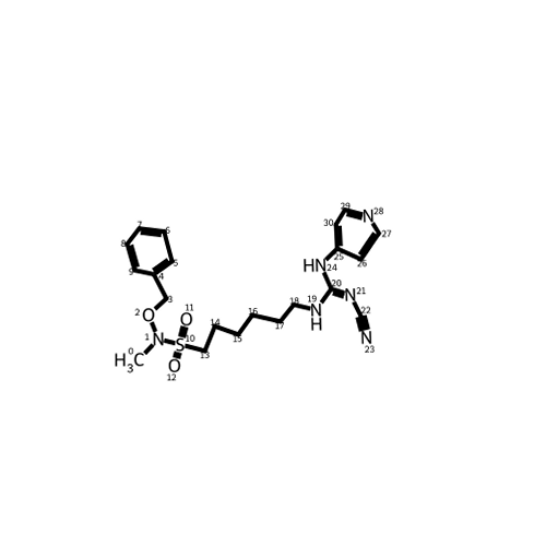 CN(OCc1ccccc1)S(=O)(=O)CCCCCCN/C(=N\C#N)Nc1ccncc1